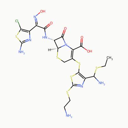 CCSC(N)c1nc(SCCN)sc1SC1=C(C(=O)O)N2C(=O)[C@@H](NC(=O)/C(=N\O)c3nc(N)sc3Cl)[C@@H]2SC1